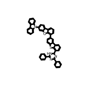 c1ccc(C2=NC(c3cccc4c3sc3ccc(-c5cccc6c5oc5cc(-n7c8ccccc8c8ccccc87)ccc56)cc34)NC(c3ccccc3)=N2)cc1